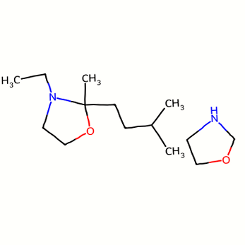 C1COCN1.CCN1CCOC1(C)CCC(C)C